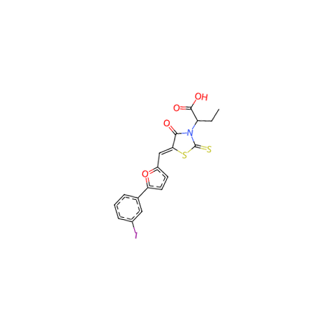 CCC(C(=O)O)N1C(=O)C(=Cc2ccc(-c3cccc(I)c3)o2)SC1=S